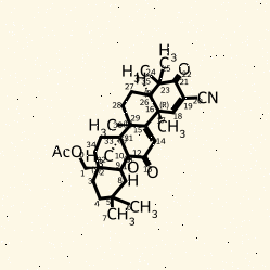 CC(=O)OC[C@]12CCC(C)(C)CC1[C@@]1(O)C(=O)C=C3[C@@]4(C)C=C(C#N)C(=O)C(C)(C)[C@@H]4CC[C@@]3(C)[C@]1(C)CC2